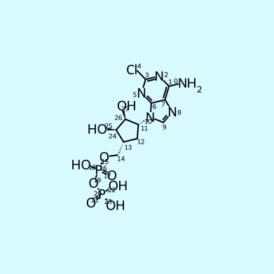 Nc1nc(Cl)nc2c1ncn2[C@@H]1C[C@H](COP(=O)(O)OP(=O)(O)O)[C@@H](O)[C@H]1O